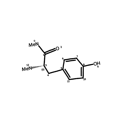 CNC(=O)[C@H](Cc1ccc(O)cc1)NC